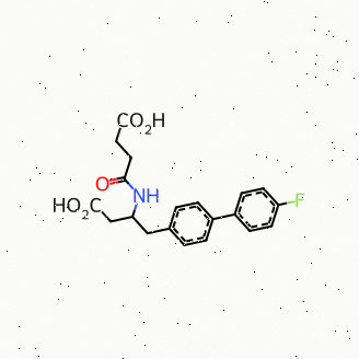 O=C(O)CCC(=O)NC(CC(=O)O)Cc1ccc(-c2ccc(F)cc2)cc1